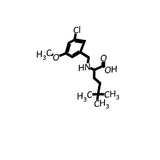 COc1cc(Cl)cc(CNC(CCC(C)(C)C)C(=O)O)c1